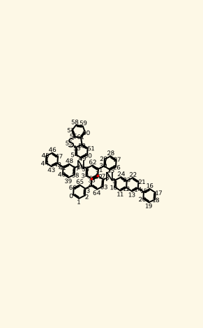 c1ccc(-c2ccc(N(c3ccc4cc(-c5ccccc5)ccc4c3)c3ccccc3-c3cccc(N(c4cccc(-c5ccccc5)c4)c4ccc5c(c4)sc4ccccc45)c3)cc2)cc1